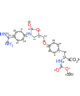 CC(C)(C)OC(=O)NC(Cc1ccc(OCC2CN(c3ccc(C(=N)N)cc3)C(=O)O2)cc1)C(=O)O